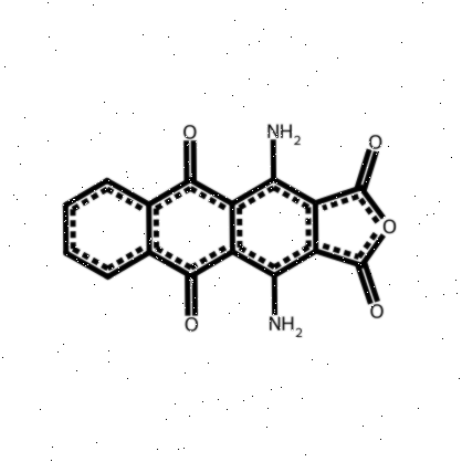 Nc1c2c(=O)oc(=O)c2c(N)c2c(=O)c3ccccc3c(=O)c12